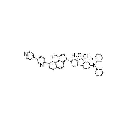 CC1(C)c2cc(-c3ccc4ccc5c(-c6ccc(-c7ccncc7)cn6)ccc6ccc3c4c65)ccc2-c2ccc(N(c3ccccc3)c3ccccc3)cc21